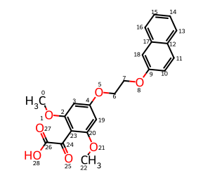 COc1cc(OCCOc2ccc3ccccc3c2)cc(OC)c1C(=O)C(=O)O